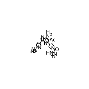 CC(=O)c1c(C2CCN(C(=O)c3nnc[nH]3)CC2)nc2c(-c3ccc(-c4ccn(C)n4)nc3)cnn2c1N